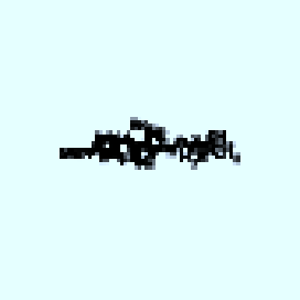 CNc1ccc(Cc2ccnc3c2C(Br)CN3COCCS(C)(C)C)c(F)c1